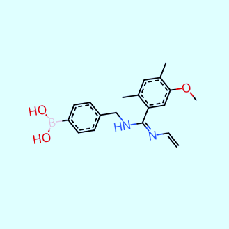 C=C/N=C(/NCc1ccc(B(O)O)cc1)c1cc(OC)c(C)cc1C